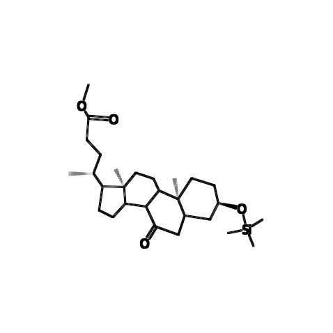 COC(=O)CC[C@@H](C)C1CCC2C3C(=O)CC4C[C@H](O[Si](C)(C)C)CC[C@]4(C)C3CC[C@@]21C